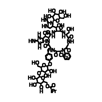 CC(C)C(=O)OCC1OC(OC2C(CO)OC(Oc3ccc(CC4NC(=O)C(C)N(c5ccccc5)C(=O)CNC(=O)C(CO)NC(=O)C(C(O)C5CNC(=N)N5C5OC(CO)C(O)C(O)C5O)NC(=O)C(C(O)C5CNC(=N)N5)NC4=O)cc3)C(O)C2O)C(O)C(O)C1O